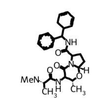 CN[C@@H](C)C(=O)NC1C(=O)N2C(C(=O)NC(c3ccccc3)C3C=CC=CC3)CC[C@@H]2O[C@@H]1C